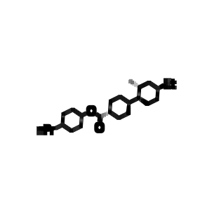 CCCC1CCC(OC(=O)[C@H]2CC[C@H]([C@@H]3CC[C@H](CC)C[C@H]3C)CC2)CC1